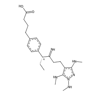 CC[C@@H](C(=N)CCc1c(NC)nn(NC)c1NC)c1ccc(CCCC(=O)O)cc1